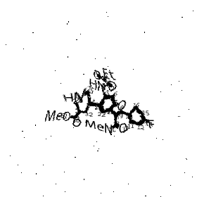 CCS(=O)(=O)Nc1cc2oc(-c3ccc(F)cc3)c(C(=O)NC)c2cc1C1CNCC(C(=O)OC)C1